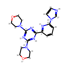 c1cc(-c2nc(N3CCOCC3)nc(N3CCOCC3)n2)nc(-n2ccnc2)c1